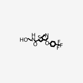 O=C(NCCO)c1cc2c(Oc3ccc(C(F)(F)F)cc3)cncc2s1